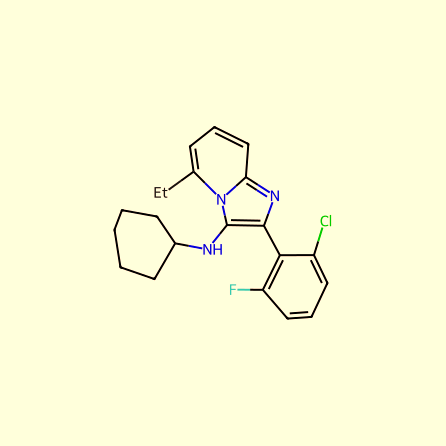 CCc1cccc2nc(-c3c(F)cccc3Cl)c(NC3CCCCC3)n12